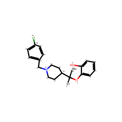 [CH2]CC(Oc1ccccc1O)(C1CCN(Cc2ccc(Cl)cc2)CC1)C(C)(C)C